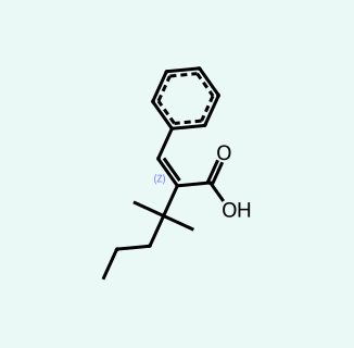 CCCC(C)(C)/C(=C/c1ccccc1)C(=O)O